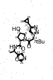 CC(NC(=O)[C@H]1C[C@H](O)CN1C(=O)[C@H](n1cc(C2CC2)nn1)C(C)(C)C)c1cnco1